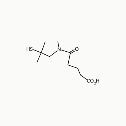 CN(CC(C)(C)S)C(=O)CCCC(=O)O